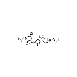 C[C@H]1CN(C(=O)O)CCN1c1ccc(Nc2cc(Br)cn(C)c2=O)nc1